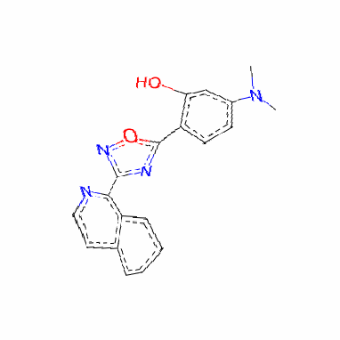 CN(C)c1ccc(-c2nc(-c3nccc4ccccc34)no2)c(O)c1